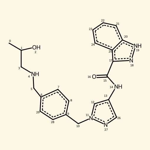 CC(O)CNCc1ccc(Cn2cc(NC(=O)c3n[nH]c4ccccc34)cn2)cc1